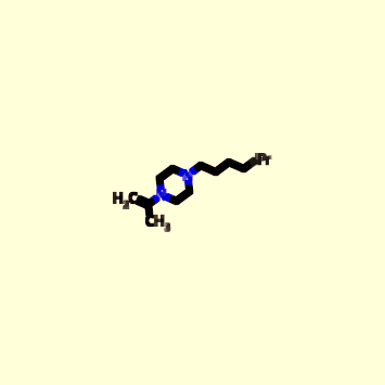 C=C(C)N1CCN(CCCCC(C)C)CC1